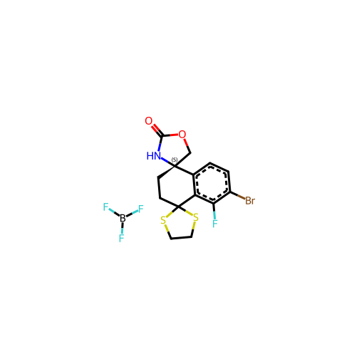 FB(F)F.O=C1N[C@]2(CCC3(SCCS3)c3c2ccc(Br)c3F)CO1